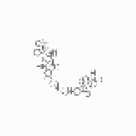 Cc1cc(Nc2ncc(Cl)c(Nc3ccccc3S(=O)(=O)C(C)C)n2)c(OC(C)C)cc1C1CCN(CC2CCN(c3ccc4c(c3)C(=O)N(N3CCC(=O)NC3=O)C4=O)CC2)CC1